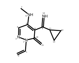 C=CN1N=CC(NC)=C(C(=N)C2CC2)C1=C